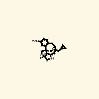 COc1ccc2c(c1)C13CCN(CC4CC4)C(CCC4NC[C@@H](OC1)C43)C2